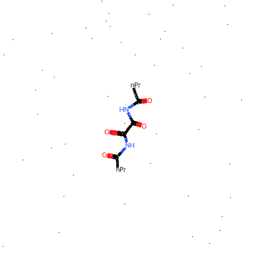 CCCC(=O)NC(=O)C(=O)NC(=O)CCC